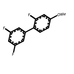 COc1ccc(-c2cc(F)cc(F)c2)c(F)c1